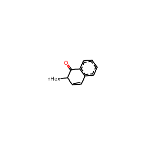 CCCCCCC1C=Cc2ccccc2C1=O